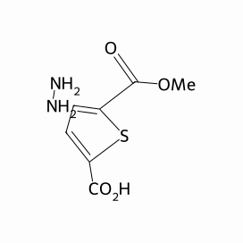 COC(=O)c1ccc(C(=O)O)s1.NN